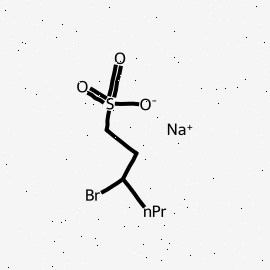 CCCC(Br)CCS(=O)(=O)[O-].[Na+]